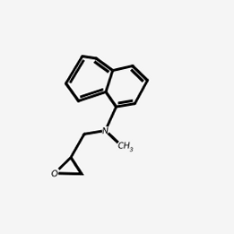 CN(CC1CO1)c1cccc2ccccc12